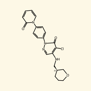 O=c1ccccn1-c1ccc(-n2ncc(NC[C@@H]3CCCOC3)c(Cl)c2=O)cc1